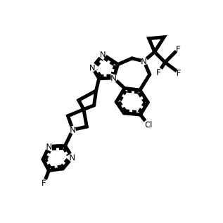 Fc1cnc(N2CC3(CC(c4nnc5n4-c4ccc(Cl)cc4CN(C4(C(F)(F)F)CC4)C5)C3)C2)nc1